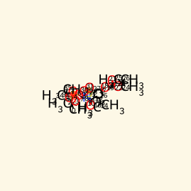 CC(C)OP(=O)(OCN1C(=O)c2c(C(C)C)cc(OCC(=O)OC(C)(C)C)cc2S1(=O)=O)OC(C)C